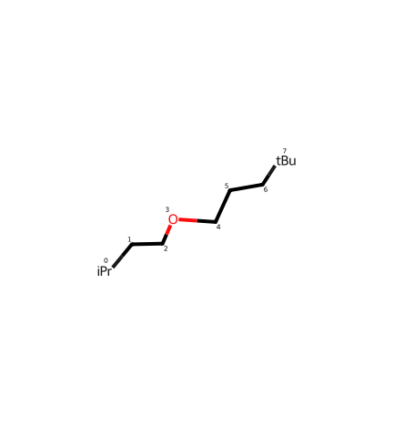 CC(C)CCOCCCC(C)(C)C